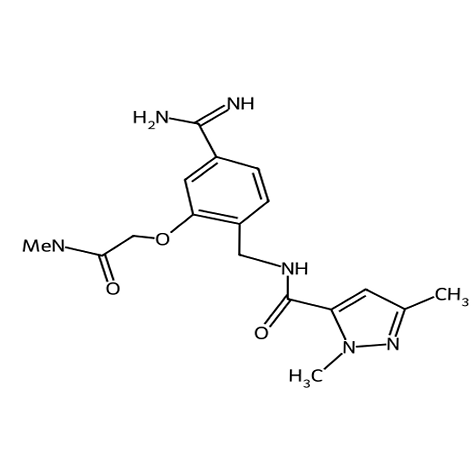 CNC(=O)COc1cc(C(=N)N)ccc1CNC(=O)c1cc(C)nn1C